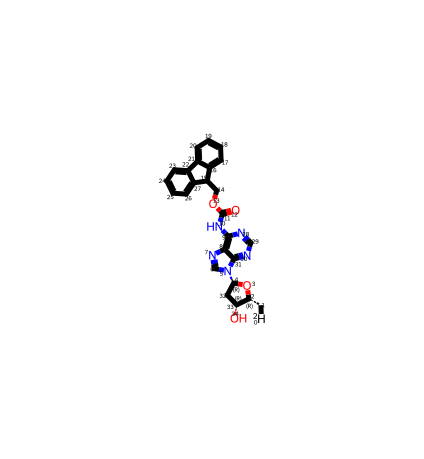 [2H]C[C@H]1O[C@@H](n2cnc3c(NC(=O)OCC4c5ccccc5-c5ccccc54)ncnc32)C[C@H]1O